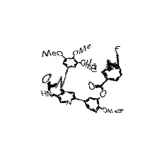 COc1ccc(-c2cc3c(cn2)[nH]c(=O)n3-c2cc(OC)c(OC)c(OC)c2)cc1OC(=O)c1ccc(F)cc1